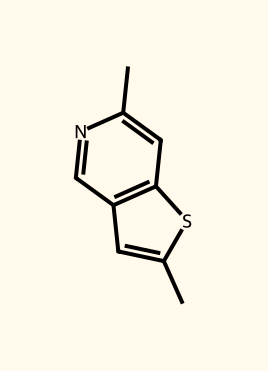 Cc1cc2sc(C)cc2cn1